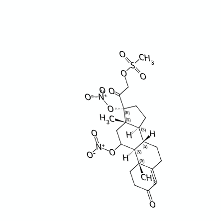 C[C@]12CCC(=O)C=C1CC[C@@H]1[C@@H]2C(O[N+](=O)[O-])C[C@@]2(C)[C@H]1CC[C@]2(O[N+](=O)[O-])C(=O)COS(C)(=O)=O